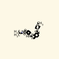 CN(C)/C=N/S(=O)(=O)c1cccc(Nc2ncc3c(n2)-c2sc(N4CCN(C)CC4)nc2CC3)c1